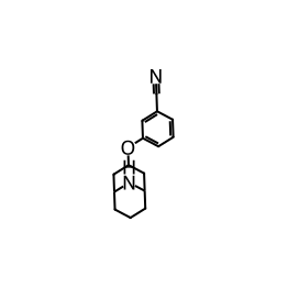 N#Cc1cccc(OC2CC3CCCC(C2)N3)c1